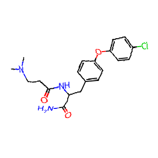 CN(C)CCC(=O)NC(Cc1ccc(Oc2ccc(Cl)cc2)cc1)C(N)=O